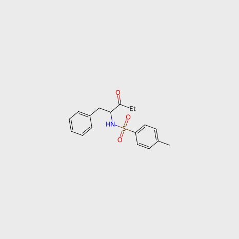 CCC(=O)C(Cc1ccccc1)NS(=O)(=O)c1ccc(C)cc1